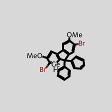 COC1=CC2=[C]([GeH]=[C]1Br)C(c1ccccc1)(c1ccccc1)c1cc(Br)c(OC)cc12